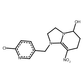 O=[N+]([O-])C1=C2N(Cc3ccc(Cl)nc3)CCN2C(O)CC1